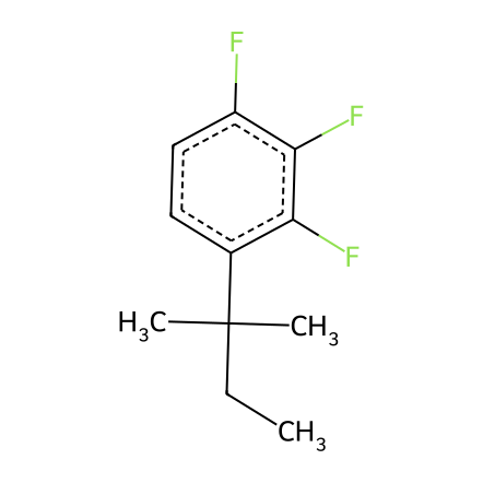 CCC(C)(C)c1ccc(F)c(F)c1F